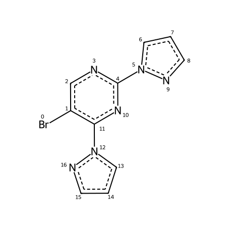 Brc1cnc(-n2cccn2)nc1-n1cccn1